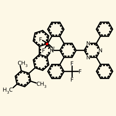 Cc1cc(C)c(-c2ccc3c(c2)c2ccccc2n3-c2c(-c3ccccc3C(F)(F)F)cc(-c3nc(-c4ccccc4)nc(-c4ccccc4)n3)cc2-c2ccccc2C(F)(F)F)c(C)c1